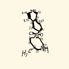 C[C@@H]1CCN(S(=O)(=O)c2ccc3cnccc3c2)CCNC1